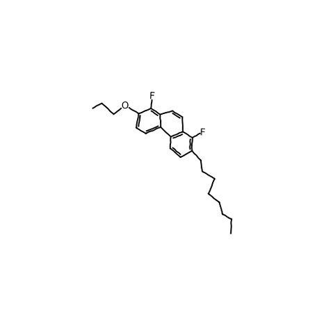 CCCCCCCCc1ccc2c(ccc3c(F)c(OCCC)ccc32)c1F